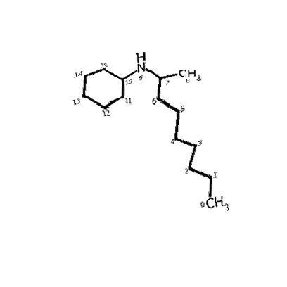 CCCCCCCC(C)NC1CCCCC1